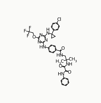 CC(C)(CNC(=O)c1ccc(Nc2nc(NC3(c4ccc(Cl)cc4)CC3)nc(OCC(F)(F)F)n2)cc1)NC(=O)C(=O)Nc1ccccc1